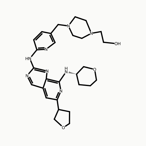 OCCN1CCN(Cc2ccc(Nc3ncc4cc(C5CCOC5)nc(N[C@H]5CCCOC5)c4n3)nc2)CC1